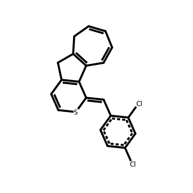 Clc1ccc(C=C2SC=CC3=C2C2=C(CC=CC=C2)C3)c(Cl)c1